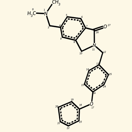 CN(C)Cc1ccc2c(c1)CN(Cc1ccc(Oc3ccccc3)cc1)C2=O